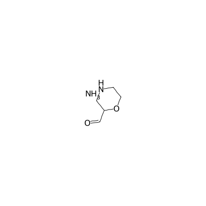 N.O=CC1CNCCO1